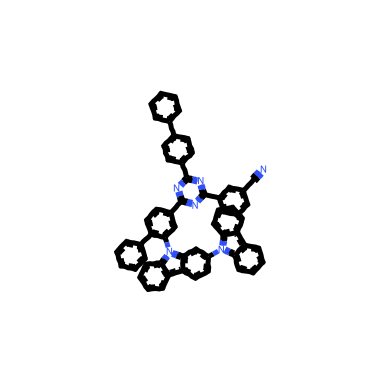 N#Cc1cccc(-c2nc(-c3ccc(-c4ccccc4)cc3)nc(-c3ccc(-c4ccccc4)c(-n4c5ccccc5c5ccc(-n6c7ccccc7c7ccccc76)cc54)c3)n2)c1